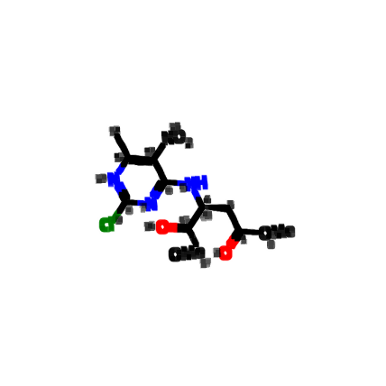 COC(=O)C[C@H](Nc1nc(Cl)nc(C)c1[N+](=O)[O-])C(=O)OC